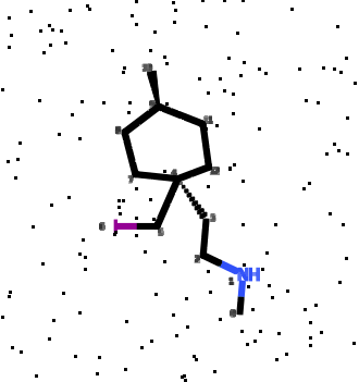 CNCC[C@]1(CI)CC[C@@H](C)CC1